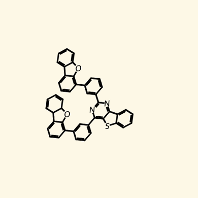 C1=CC2Oc3c(-c4cccc(-c5nc(-c6cccc(-c7cccc8c7oc7ccccc78)c6)nc6c5sc5ccccc56)c4)cccc3C2C=C1